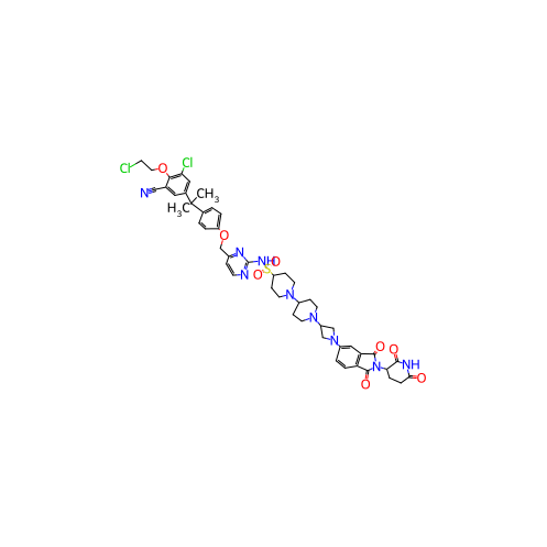 CC(C)(c1ccc(OCc2ccnc(NS(=O)(=O)C3CCN(C4CCN(C5CN(c6ccc7c(c6)C(=O)N(C6CCC(=O)NC6=O)C7=O)C5)CC4)CC3)n2)cc1)c1cc(Cl)c(OCCCl)c(C#N)c1